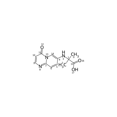 CC(C)(Nc1ccc2nccc(=O)n2c1)C(=O)O